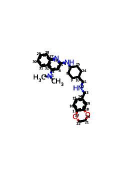 CN(C)c1cc(NC2CCC(CNCc3ccc4c(c3)OCCO4)CC2)nc2ccccc12